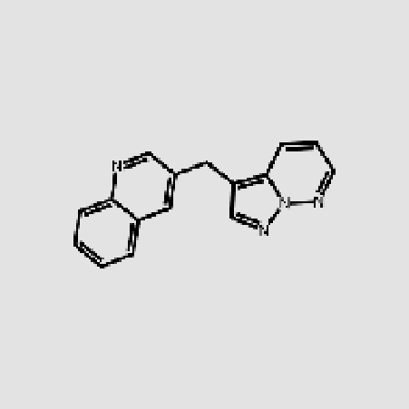 c1ccc2ncc(Cc3cnn4ncccc34)cc2c1